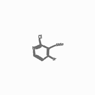 CSc1c(Br)ccnc1Cl